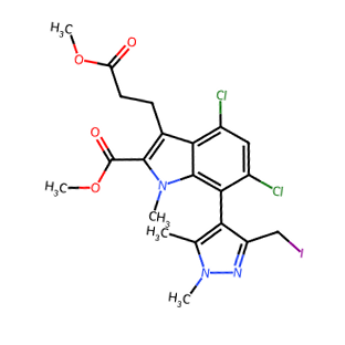 COC(=O)CCc1c(C(=O)OC)n(C)c2c(-c3c(CI)nn(C)c3C)c(Cl)cc(Cl)c12